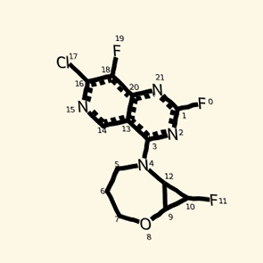 Fc1nc(N2CCCOC3C(F)C32)c2cnc(Cl)c(F)c2n1